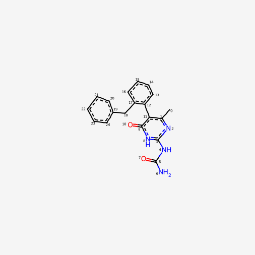 Cc1nc(NC(N)=O)[nH]c(=O)c1-c1ccccc1Cc1ccccc1